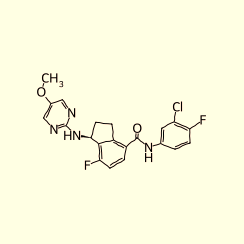 COc1cnc(N[C@H]2CCc3c(C(=O)Nc4ccc(F)c(Cl)c4)ccc(F)c32)nc1